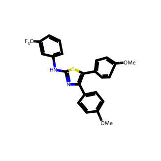 COc1ccc(-c2nc(Nc3cccc(C(F)(F)F)c3)sc2-c2ccc(OC)cc2)cc1